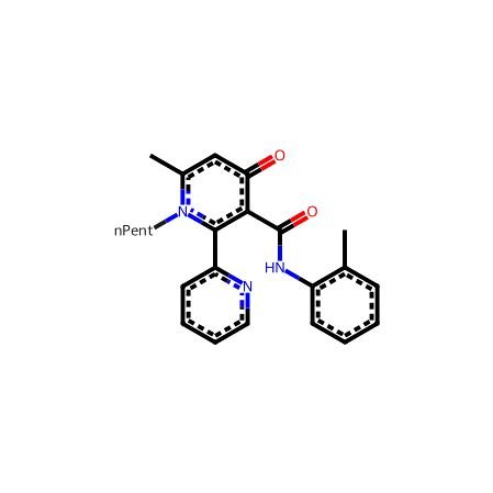 CCCCCn1c(C)cc(=O)c(C(=O)Nc2ccccc2C)c1-c1ccccn1